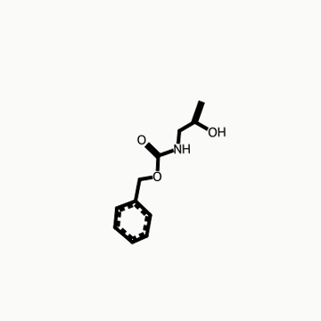 C=C(O)CNC(=O)OCc1ccccc1